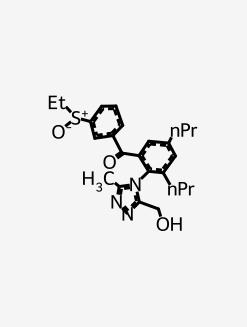 CCCc1cc(CCC)c(-n2c(C)nnc2CO)c(C(=O)c2cccc([S+]([O-])CC)c2)c1